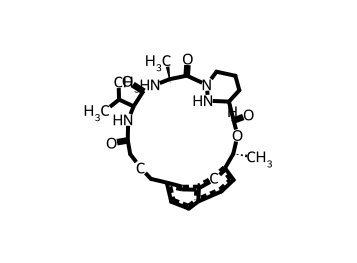 CC(C)C1NC(=O)CCCc2ccc3ccc(cc3c2)[C@@H](C)OC(=O)[C@@H]2CCCN(N2)C(=O)[C@H](C)NC1=O